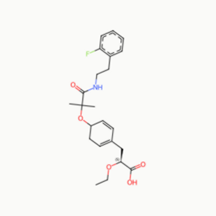 CCO[C@@H](CC1=CCC(OC(C)(C)C(=O)NCCc2ccccc2F)C=C1)C(=O)O